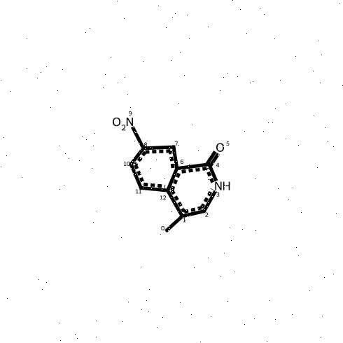 Cc1c[nH]c(=O)c2cc([N+](=O)[O-])ccc12